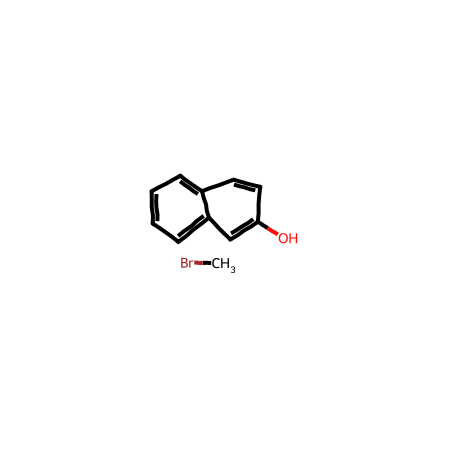 CBr.Oc1ccc2ccccc2c1